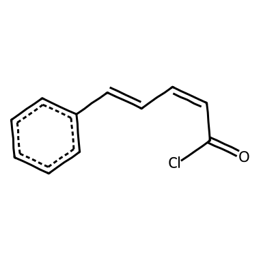 O=C(Cl)/C=C\C=C\c1ccccc1